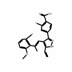 C=Cc1[nH]nc(-c2ccc(C(=O)O)c(F)c2)c1/C=C(\C)c1c(F)cccc1OC